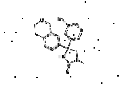 CN1CC(c2cccc(Br)c2)(c2ccc3c(c2)COCC3)NC1=S